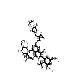 CC[C@@H]1CN2c3nc(OCC4(CN5C[C@H](OC)[C@@H](F)C5)CC4)nc4c(F)c(-c5cc(N)nc(C)c5C(F)(F)F)nc(c34)O[C@@H](C)[C@@H]2CN1